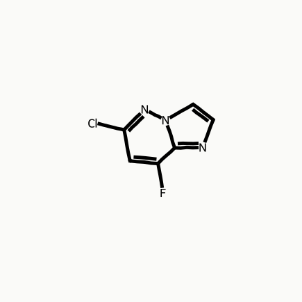 Fc1cc(Cl)nn2ccnc12